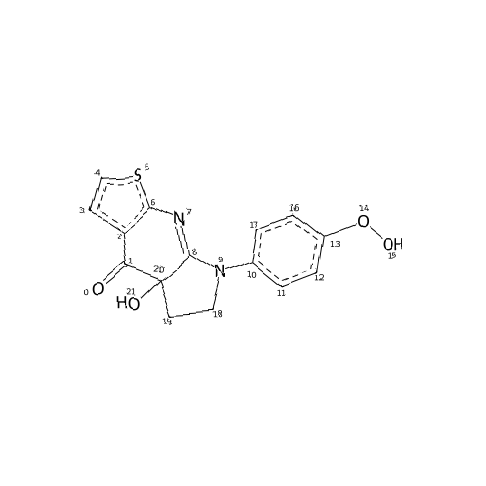 O=C1c2ccsc2N=C2N(c3ccc(OO)cc3)CCC12O